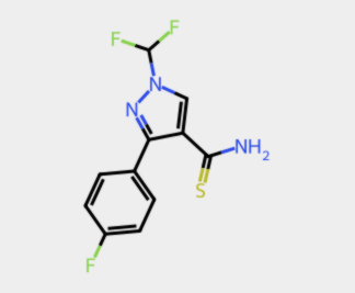 NC(=S)c1cn(C(F)F)nc1-c1ccc(F)cc1